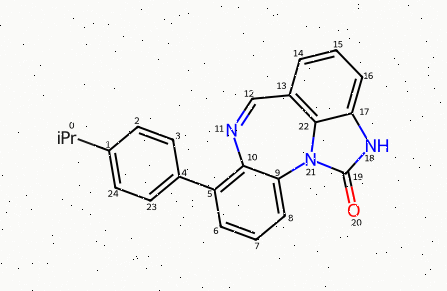 CC(C)c1ccc(-c2cccc3c2N=Cc2cccc4[nH]c(=O)n-3c24)cc1